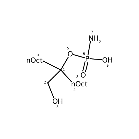 CCCCCCCCC(CO)(CCCCCCCC)OP(N)(=O)O